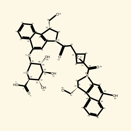 O=C(O)[C@H]1O[C@@H](Oc2cc3c(c4ccccc24)[C@H](CCl)CN3C(=O)CC23CC(C(=O)N4C[C@@H](CCl)c5c4cc(O)c4ccccc54)(C2)C3)[C@H](O)[C@@H](O)[C@@H]1O